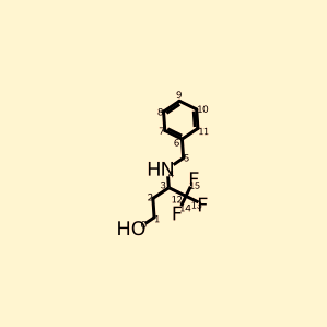 OCCC(NCc1ccccc1)C(F)(F)F